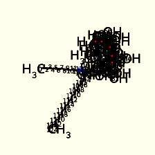 CCCCCCCCCCCCC/C=C/[C@@H](O)[C@H](CO[C@@H]1OC(CO)[C@@H](O[C@@H]2OC(CO)[C@H](O)[C@H](O[C@@H]3OC(CO)[C@@H](O[C@@H]4OC(CO)[C@H](O[C@@H]5OC(CO)[C@H](O)[C@H](O)C5NC(C)=O)[C@H](O[C@]5(C(=O)O)CC(O)[C@@H](NC(C)=O)C([C@H](O)[C@H](O)CO)O5)C4O)[C@H](O)C3NC(C)=O)C2O)[C@H](O)C1O)NC(=O)CCCCCCCCCCCCCCCCCCCCC